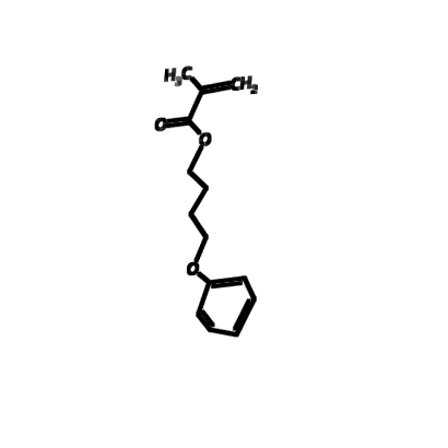 C=C(C)C(=O)OCCCCOc1ccccc1